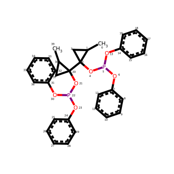 CC1CC1(OP(Oc1ccccc1)Oc1ccccc1)C1(OP(Oc2ccccc2)Oc2ccccc2)CC1C